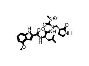 COc1cccc2[nH]c(C(=O)N[C@@H](CC(C)C)C(=O)NN(C[C@@H]3CCNC3=O)C(=O)[S+](C)[O-])cc12